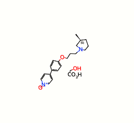 C[C@H]1CCCN(CCCOc2ccc(-c3cc[n+]([O-])cc3)cc2)C1.O=C(O)CO